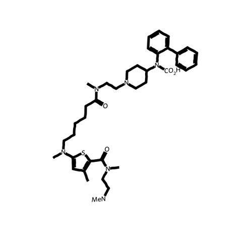 CNCCN(C)C(=O)c1sc(N(C)CCCCCC(=O)N(C)CCN2CCC(N(C(=O)O)c3ccccc3-c3ccccc3)CC2)cc1C